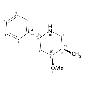 CO[C@H]1C[C@H](c2ccccc2)NC[C@H]1C